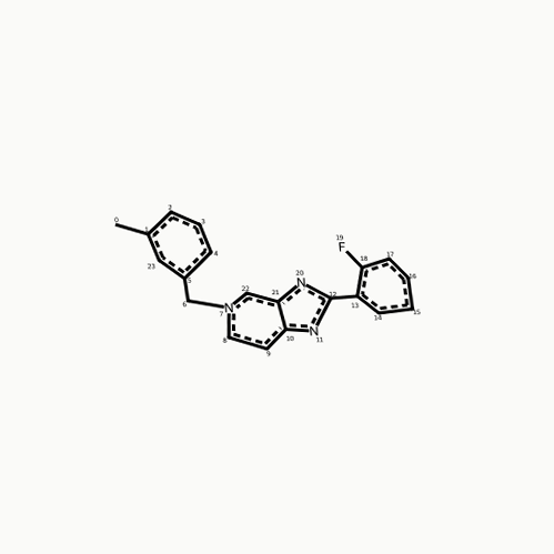 Cc1cccc(Cn2ccc3nc(-c4ccccc4F)nc-3c2)c1